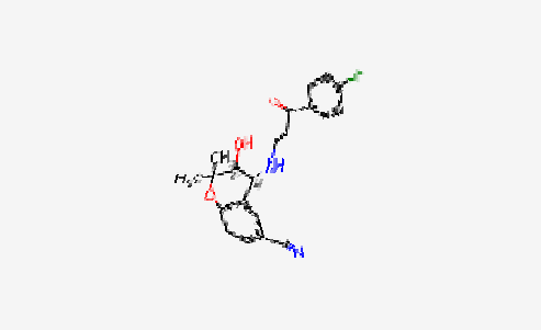 CC1(C)Oc2ccc(C#N)cc2[C@@H](NCCC(=O)c2ccc(F)cc2)[C@@H]1O